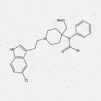 CCC(=O)N(c1ccccc1)C1(COC)CCN(CCc2c[nH]c3ccc(Cl)cc23)CC1